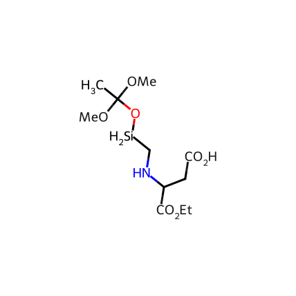 CCOC(=O)C(CC(=O)O)NC[SiH2]OC(C)(OC)OC